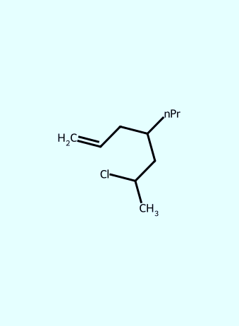 C=CCC(CCC)CC(C)Cl